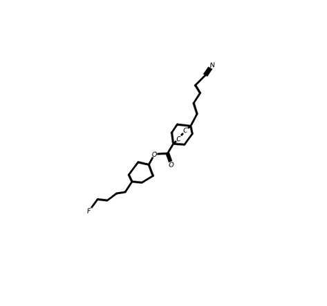 N#CCCCCC12CCC(C(=O)OC3CCC(CCCCF)CC3)(CC1)CC2